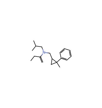 C=C(CC)N(CC(C)C)CC1CC1(C)c1ccccc1